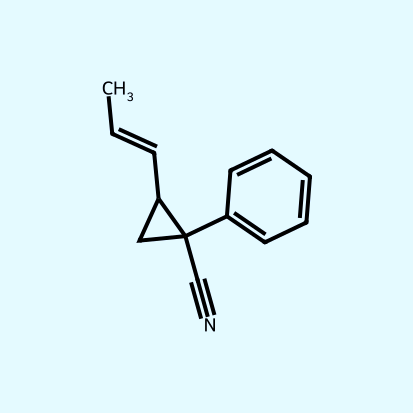 CC=CC1CC1(C#N)c1ccccc1